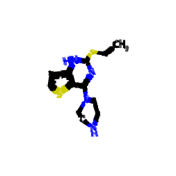 CCSC1N=C(N2CCNCC2)c2sccc2N1